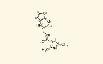 Cc1cc(C(=O)NCC(Nc2ccsc2)=S=O)n(C)n1